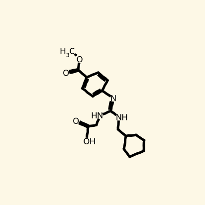 COC(=O)c1ccc(N=C(NCC(=O)O)NCC2CCCCC2)cc1